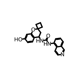 O=C(Nc1cccc2cnccc12)NC1CC2(CCC2)Oc2cc(O)ccc21